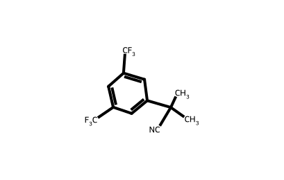 CC(C)(C#N)c1cc(C(F)(F)F)cc(C(F)(F)F)c1